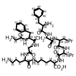 C=C(NCC(=O)NC(CCCN)C(=O)NCCCCC(NC(=O)C(CCC)NC(=O)C(CC(C)C)NC(=O)CNC(=O)C(N)Cc1ccccc1)C(=O)O)C(Cc1ccccc1)NC(=O)CN